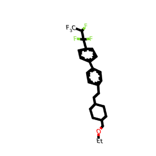 CCOCC1CCC(CCc2ccc(-c3ccc(C(F)(F)C(F)C(F)(F)F)cc3)cc2)CC1